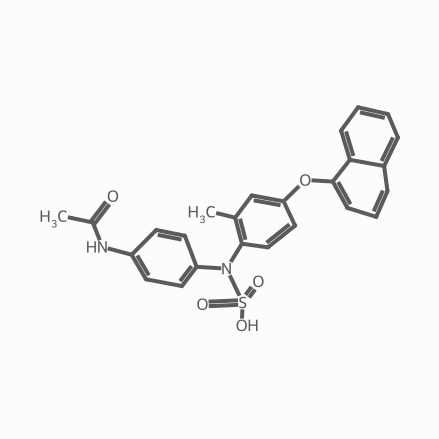 CC(=O)Nc1ccc(N(c2ccc(Oc3cccc4ccccc34)cc2C)S(=O)(=O)O)cc1